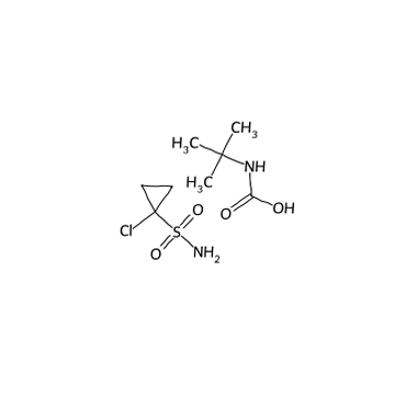 CC(C)(C)NC(=O)O.NS(=O)(=O)C1(Cl)CC1